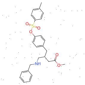 COC(=O)CC(CNCc1ccccc1)Cc1ccc(OS(=O)(=O)c2ccc(C)cc2)cc1